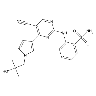 CC(C)(O)Cn1cc(-c2nc(Nc3ccccc3S(N)(=O)=O)ncc2C#N)cn1